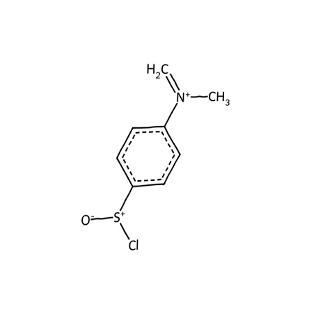 C=[N+](C)c1ccc([S+]([O-])Cl)cc1